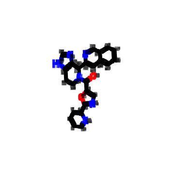 O=C(c1cnc(-c2ccccn2)o1)N1CCc2[nH]cnc2[C@H]1c1cc2ccccc2cn1